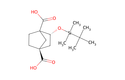 CC(C)(C)[Si](C)(C)O[C@@H]1C[C@]2(C(=O)O)CCC1(C(=O)O)C2